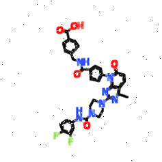 Cc1nc(N2CCN(C(=O)Nc3ccc(F)c(F)c3)CC2)nc2c1ccc(=O)n2-c1ccc(C(=O)NCc2ccc(C(=O)O)cc2)cc1